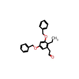 CCc1c(CC=O)cc(OCc2ccccc2)cc1OCc1ccccc1